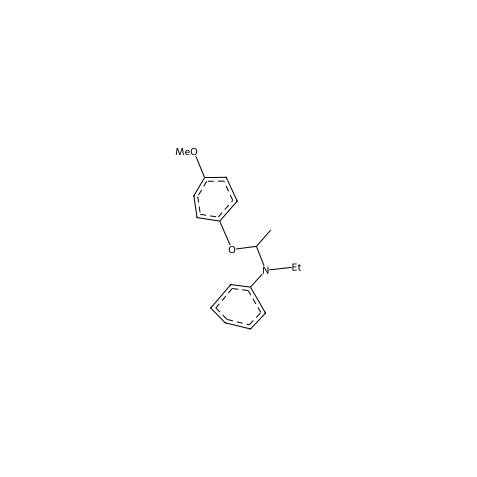 CCN(c1ccccc1)C(C)Oc1ccc(OC)cc1